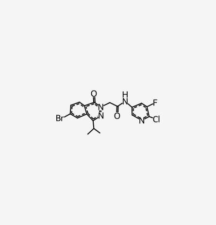 CC(C)c1nn(CC(=O)Nc2cnc(Cl)c(F)c2)c(=O)c2ccc(Br)cc12